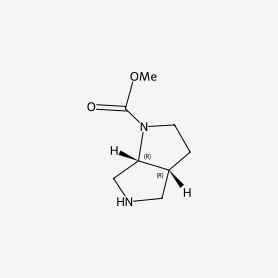 COC(=O)N1CC[C@@H]2CNC[C@@H]21